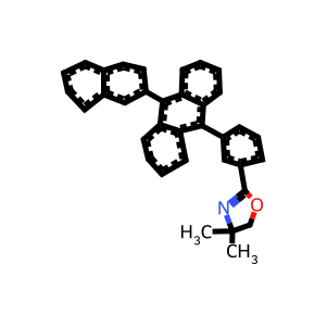 CC1(C)COC(c2cccc(-c3c4ccccc4c(-c4ccc5ccccc5c4)c4ccccc34)c2)=N1